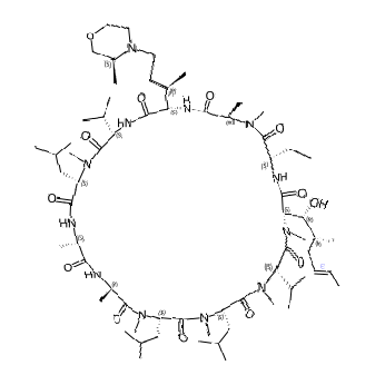 C/C=C/C[C@@H](C)[C@@H](O)[C@H]1C(=O)N[C@@H](CC)C(=O)N(C)[C@H](C)C(=O)N[C@@H]([C@H](C)CCN2CCOC[C@@H]2C)C(=O)N[C@@H](C(C)C)C(=O)N(C)[C@@H](CC(C)C)C(=O)N[C@@H](C)C(=O)N[C@H](C)C(=O)N(C)[C@@H](CC(C)C)C(=O)N(C)[C@@H](CC(C)C)C(=O)N(C)[C@@H](C(C)C)C(=O)N1C